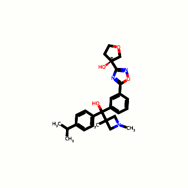 CC(C)c1ccc(C(O)(c2cccc(-c3nc([C@]4(O)CCOC4)no3)c2)C2(C)CN(C)C2)cc1